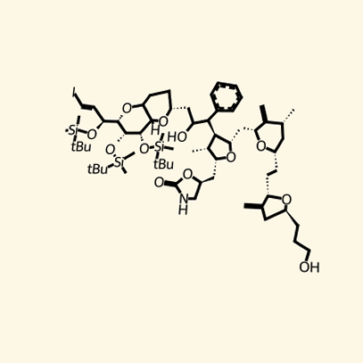 C=C1C[C@H](CCCO)O[C@H]1CC[C@H]1C[C@@H](C)C(=C)[C@@H](C[C@@H]2O[C@H](C[C@H]3CNC(=O)O3)[C@H](C)[C@H]2C(c2ccccc2)C(O)C[C@H]2CCC3O[C@@H]([C@H](/C=C/I)O[Si](C)(C)C(C)(C)C)[C@@H](O[Si](C)(C)C(C)(C)C)[C@@H](O[Si](C)(C)C(C)(C)C)[C@H]3O2)O1